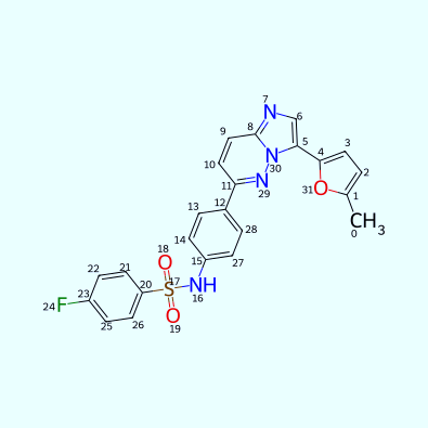 Cc1ccc(-c2cnc3ccc(-c4ccc(NS(=O)(=O)c5ccc(F)cc5)cc4)nn23)o1